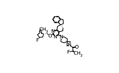 C=C(F)C(=O)N1CC2(CCN(c3nc(OC[C@@H]4C[C@@H](F)CN4C)nc4c3CC[C@]3(CCc5ccccc53)C4)CC2)C1